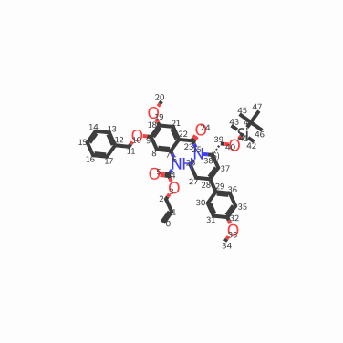 C=CCOC(=O)Nc1cc(OCc2ccccc2)c(OC)cc1C(=O)N1CCC(c2ccc(OC)cc2)=C[C@H]1CO[Si](C)(C)C(C)(C)C